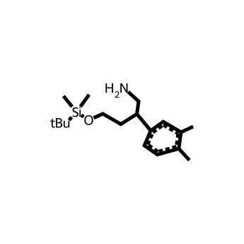 Cc1ccc(C(CN)CCO[Si](C)(C)C(C)(C)C)cc1C